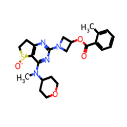 Cc1ccccc1C(=O)OC1CN(c2nc3c(c(N(C)C4CCOCC4)n2)[S+]([O-])CC3)C1